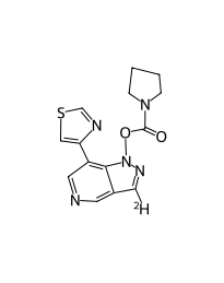 [2H]c1nn(OC(=O)N2CCCC2)c2c(-c3cscn3)cncc12